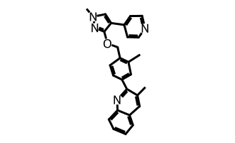 Cc1cc(-c2nc3ccccc3cc2C)ccc1COc1nn(C)cc1-c1ccncc1